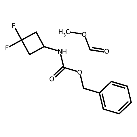 COC=O.O=C(NC1CC(F)(F)C1)OCc1ccccc1